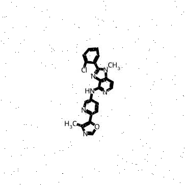 Cc1ncoc1-c1ccc(Nc2nccc3c2nc(-c2ccccc2Cl)n3C)cn1